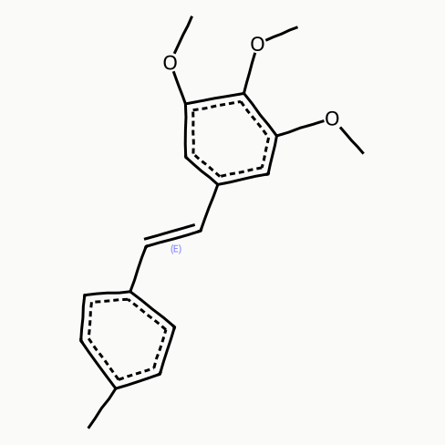 COc1cc(/C=C/c2ccc(C)cc2)cc(OC)c1OC